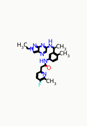 CCn1cc2ncc(N[C@@H](C)c3cc(NC(=O)Cc4ccc(F)c(C)n4)ccc3C)nc2n1